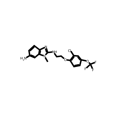 Cn1c(NCCOc2ccc(OC(F)(F)F)cc2Cl)nc2ccc(N)cc21